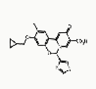 Cc1cc2c(cc1OCC1CC1)O[C@H](c1cscn1)n1cc(C(=O)O)c(=O)cc1-2